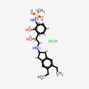 CCc1cc2c(cc1CC)CC(NC[C@@H](O)c1cccc(NS(C)(=O)=O)c1O)C2.Cl